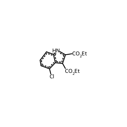 CCOC(=O)c1[nH]c2cccc(Cl)c2c1C(=O)OCC